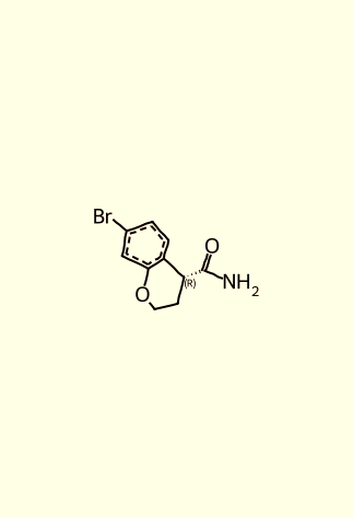 NC(=O)[C@@H]1CCOc2cc(Br)ccc21